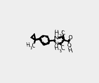 Cc1nc(-c2ccc(C3(C)CC3)cc2)nc(C)c1C(=O)O